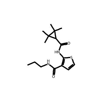 CCCNC(=O)c1ccsc1NC(=O)C1C(C)(C)C1(C)C